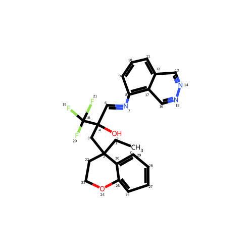 CCC1(CC(O)(C=Nc2cccc3cnncc23)C(F)(F)F)CCOc2ccccc21